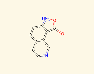 O=c1o[nH]c2ccc3ccncc3c12